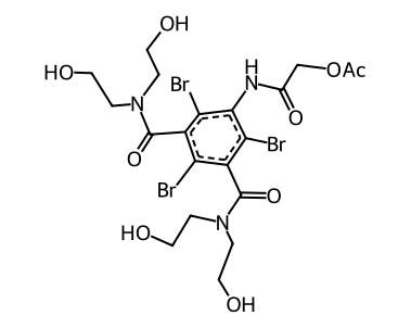 CC(=O)OCC(=O)Nc1c(Br)c(C(=O)N(CCO)CCO)c(Br)c(C(=O)N(CCO)CCO)c1Br